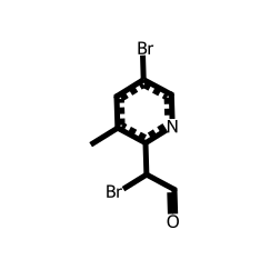 Cc1cc(Br)cnc1C(Br)C=O